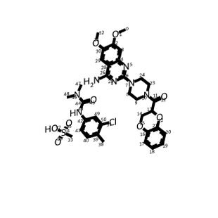 COc1cc2nc(N3CCN(C(=O)C4COc5ccccc5O4)CC3)nc(N)c2cc1OC.CS(=O)(=O)O.Cc1ccc(NC(=O)N(C)C)cc1Cl